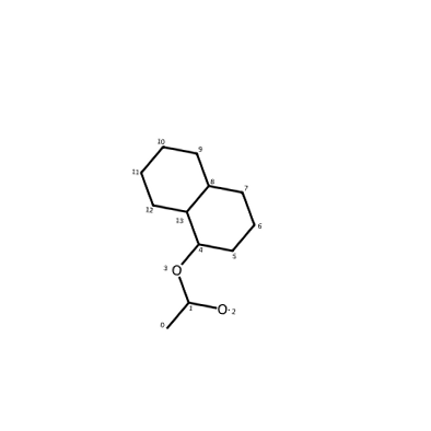 CC([O])OC1CCCC2CCCCC21